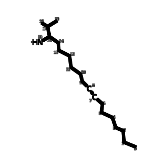 CCCCCCCCCCCCCCCC([NH])C(C)C